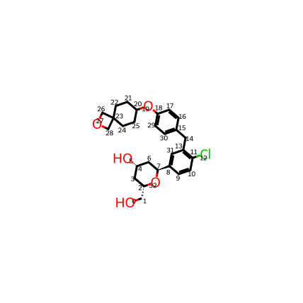 OC[C@@H]1C[C@H](O)C[C@@H](c2ccc(Cl)c(Cc3ccc(OC4CCC5(CC4)COC5)cc3)c2)O1